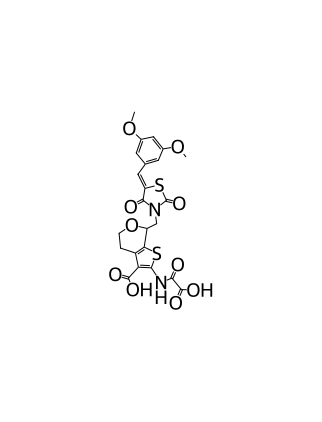 COc1cc(C=C2SC(=O)N(CC3OCCc4c3sc(NC(=O)C(=O)O)c4C(=O)O)C2=O)cc(OC)c1